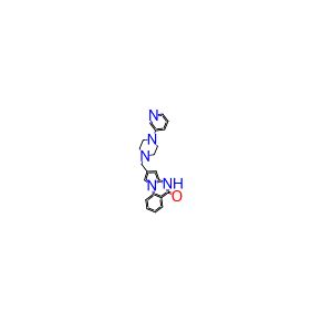 O=c1[nH]c2cc(CN3CCN(c4cccnc4)CC3)cn2c2ccccc12